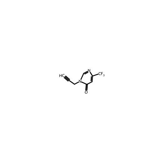 C#CCn1cnc(C(F)(F)F)cc1=O